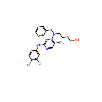 OCCCCN(Cc1ccccc1)c1nc(Nc2ccc(Cl)c(Cl)c2)ncc1C(F)(F)F